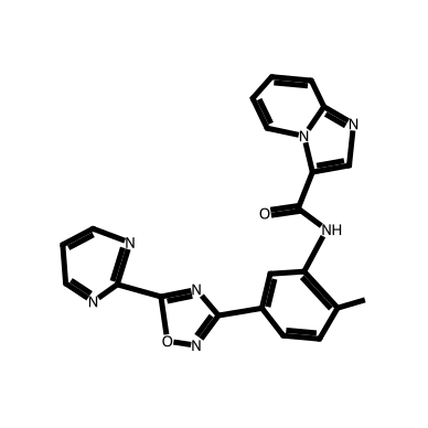 Cc1ccc(-c2noc(-c3ncccn3)n2)cc1NC(=O)c1cnc2ccccn12